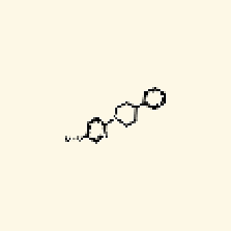 CSc1ccc(N2CCC(c3ccccc3)CC2)nc1